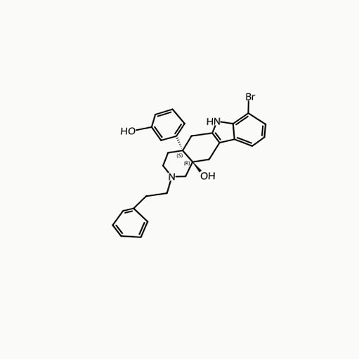 Oc1cccc([C@@]23CCN(CCc4ccccc4)C[C@@]2(O)Cc2c([nH]c4c(Br)cccc24)C3)c1